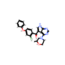 CC1CN(c2ncnc3[nH]cc(C(=O)c4ccc(Oc5ccccc5)cc4Cl)c23)CCO1